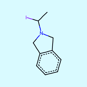 CC(I)N1Cc2ccccc2C1